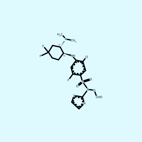 CN(C)[C@H]1CC(F)(F)CC[C@@H]1Nc1cc(F)c(S(=O)(=O)N(OC=O)c2nccs2)cc1Cl